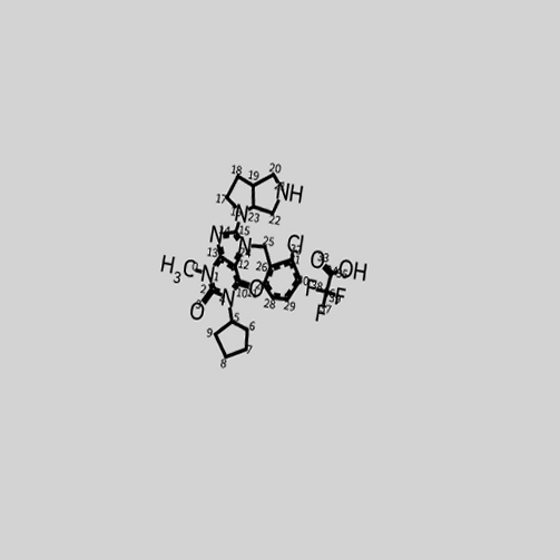 Cn1c(=O)n(C2CCCC2)c(=O)c2c1nc(N1CCC3CNCC31)n2Cc1ccccc1Cl.O=C(O)C(F)(F)F